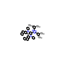 CC(C)(C)c1cc(-c2nc(-c3cc(C(C)(C)C)cc(C(C)(C)C)c3)nc(-c3cc4c5c(c3)N(c3ccccc3)c3cc6ccc7ccccc7c6cc3B5c3cc5c(ccc6ccccc65)cc3N4c3ccccc3)n2)cc(C(C)(C)C)c1